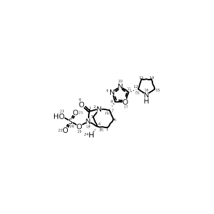 O=C1N2C[C@@H](CC[C@H]2c2nnc([C@@H]3CCCN3)o2)N1OS(=O)(=O)O